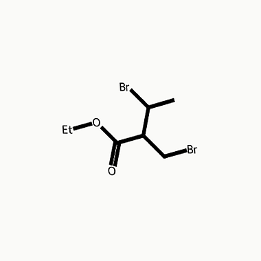 CCOC(=O)C(CBr)C(C)Br